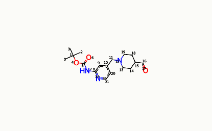 CC(C)(C)OC(=O)Nc1cc(CN2CCC(C=O)CC2)ccn1